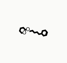 C1=CCC(CCCCCOC2CCCCO2)CC1